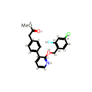 COC(=O)Cc1ccc(-c2cccnc2OCc2ccc(Cl)cc2F)cc1